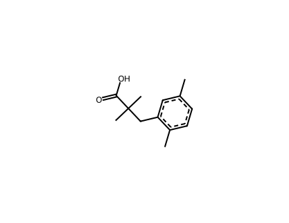 Cc1ccc(C)c(CC(C)(C)C(=O)O)c1